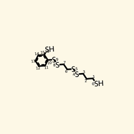 SCCCSSCCSSc1ccccc1S